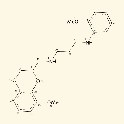 COc1ccccc1NCCCNCC1COc2cccc(OC)c2O1